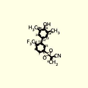 C=C(C#N)S(=O)(=O)c1ccc(C(F)(F)F)c(-c2cc(C)c(O)c(C)c2)c1